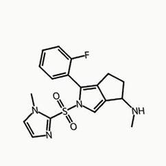 CNC1CCc2c1cn(S(=O)(=O)c1nccn1C)c2-c1ccccc1F